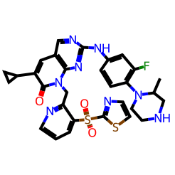 CC1CNCCN1c1ccc(Nc2ncc3cc(C4CC4)c(=O)n(Cc4ncccc4S(=O)(=O)c4nccs4)c3n2)cc1F